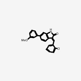 COc1cccc(-c2ccc3c(c2)NC(=O)/C3=C/c2ccccc2Cl)c1